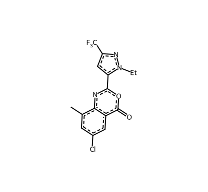 CCn1nc(C(F)(F)F)cc1-c1nc2c(C)cc(Cl)cc2c(=O)o1